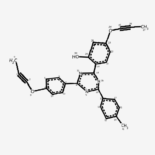 CC#COc1ccc(-c2nc(-c3ccc(C)cc3)nc(-c3ccc(OC#CC)cc3O)n2)cc1